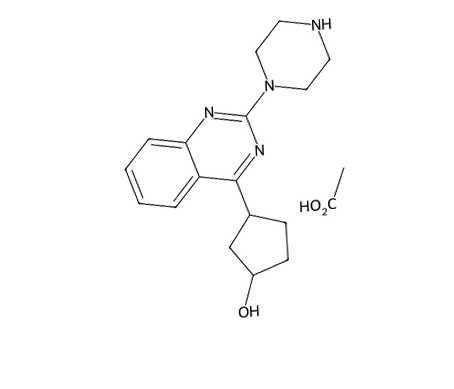 CC(=O)O.OC1CCC(c2nc(N3CCNCC3)nc3ccccc23)C1